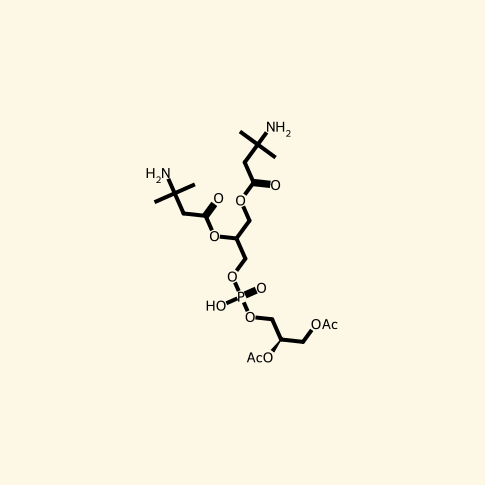 CC(=O)OC[C@H](COP(=O)(O)OCC(COC(=O)CC(C)(C)N)OC(=O)CC(C)(C)N)OC(C)=O